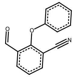 N#Cc1cccc(C=O)c1Oc1ccccc1